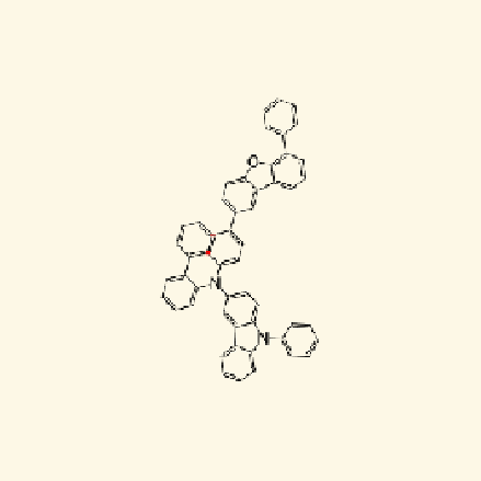 c1ccc(-c2ccccc2N(c2ccc(-c3ccc4oc5c(-c6ccccc6)cccc5c4c3)cc2)c2ccc3c(c2)c2ccccc2n3-c2ccccc2)cc1